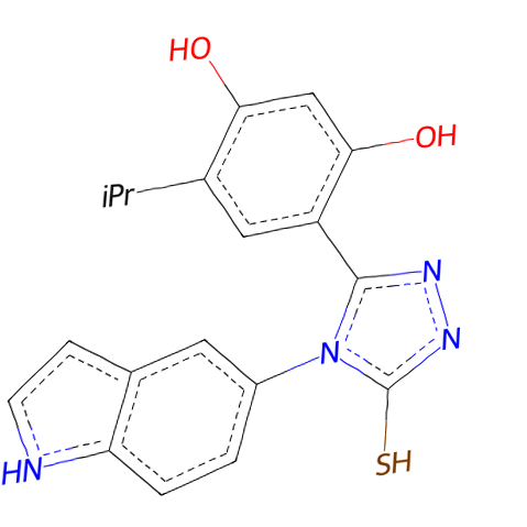 CC(C)c1cc(-c2nnc(S)n2-c2ccc3[nH]ccc3c2)c(O)cc1O